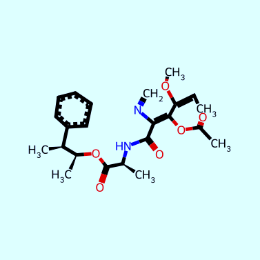 C=N/C(C(=O)N[C@@H](C)C(=O)O[C@@H](C)[C@@H](C)c1ccccc1)=C(OC(C)=O)\C(=C/C)OC